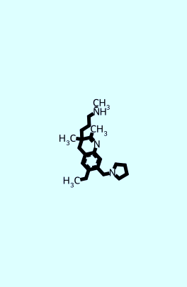 CCc1cc2c(cc1CN1CCCC1)N=C(C)C(C)(CCCNC)C2